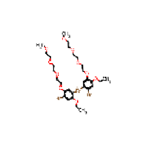 CCOc1cc(Br)c(Br)cc1OCCOCCOCCOC.CCOc1cc(Br)c(OCCOCCOCCOC)cc1Br